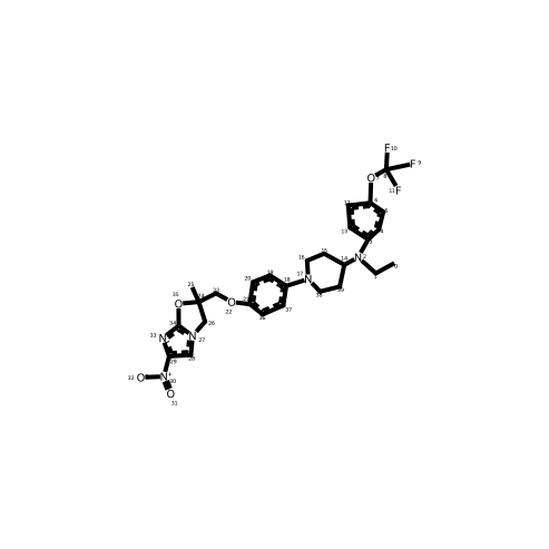 CCN(c1ccc(OC(F)(F)F)cc1)C1CCN(c2ccc(OCC3(C)Cn4cc([N+](=O)[O-])nc4O3)cc2)CC1